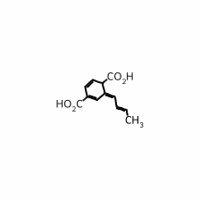 CC=CC=C1C=C(C(=O)O)C=CC1C(=O)O